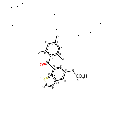 Cc1cc(C)c(C(=O)c2cc(CC(=O)O)cc3ccsc23)c(C)c1